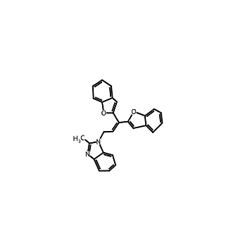 Cc1nc2ccccc2n1CC=C(c1cc2ccccc2o1)c1cc2ccccc2o1